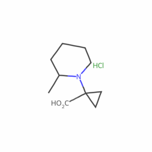 CC1CCCCN1C1(C(=O)O)CC1.Cl